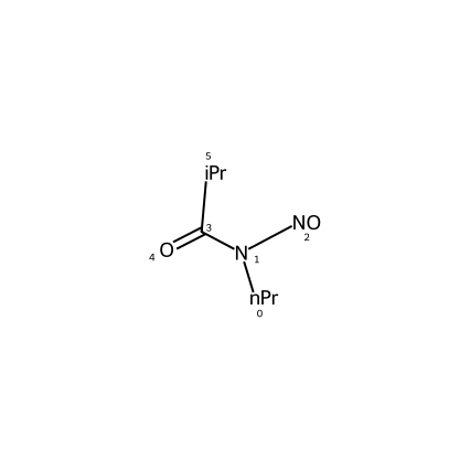 CCCN(N=O)C(=O)C(C)C